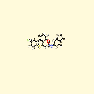 Fc1ccc(SC=CC(=Nc2ccc3c(c2)CCC3)Oc2ccccc2)cc1